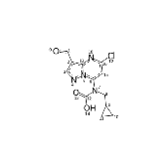 O=Cc1cnn2c(N(CC3CC3)C(=O)O)cc(Cl)nc12